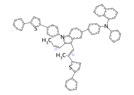 C/C=C\c1c(/C=C(\C)c2ccc(-c3ccccc3)s2)c2cc(-c3ccc(N(c4ccccc4)c4cccc5ccccc45)cc3)ccc2n1-c1ccc(-c2ccc(-c3ccccc3)s2)cc1